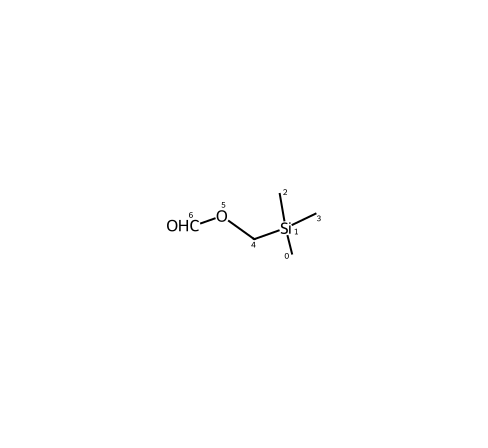 C[Si](C)(C)COC=O